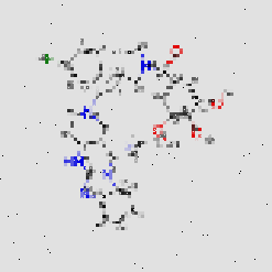 C/C=C/Cn1c(NC2CCN(CCC3(c4ccc(F)cc4)CCN(C(=O)c4cc(OC)c(OC)c(OC)c4)C3)CC2)nc2ccccc21